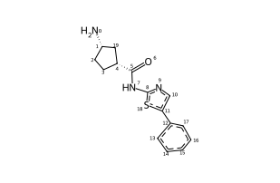 N[C@H]1CC[C@@H](C(=O)Nc2ncc(-c3ccccc3)s2)C1